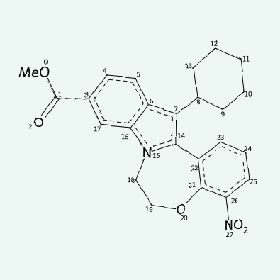 COC(=O)c1ccc2c(C3CCCCC3)c3n(c2c1)CCOc1c-3cccc1[N+](=O)[O-]